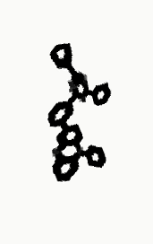 c1ccc(-c2nc(-c3ccccc3)nc(-c3cccc(-c4ccc5c(c4)Sc4ccccc4N5c4ccccc4)c3)n2)cc1